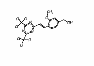 COc1cc(CO)ccc1C=Cc1nc(C(Cl)(Cl)Cl)nc(C(Cl)(Cl)Cl)n1